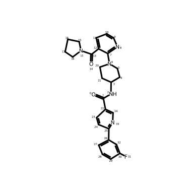 O=C(NC1CCN(c2ncccc2C(=O)N2CCCC2)CC1)c1ccc(-c2cccc(F)c2)nc1